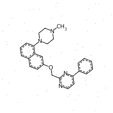 CN1CCN(c2cccc3ccc(OCc4nccc(-c5ccccc5)n4)cc23)CC1